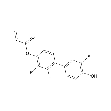 C=CC(=O)Oc1ccc(-c2ccc(O)c(F)c2)c(F)c1F